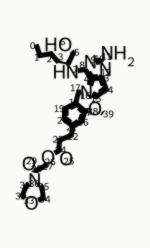 CCCC[C@@H](CO)Nc1nc(N)nc2ccn(Cc3ccc(CCC(=O)OCC(=O)N4CCOCC4)cc3OC)c12